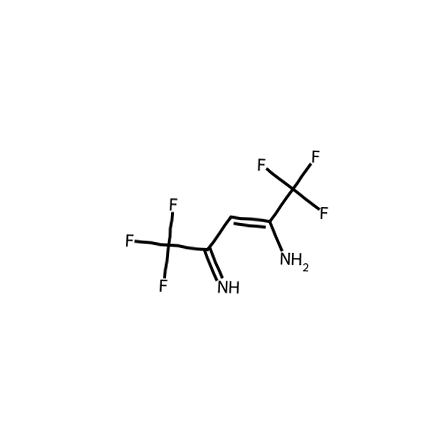 N=C(/C=C(\N)C(F)(F)F)C(F)(F)F